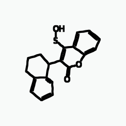 O=c1oc2ccccc2c(SO)c1C1CCCc2ccccc21